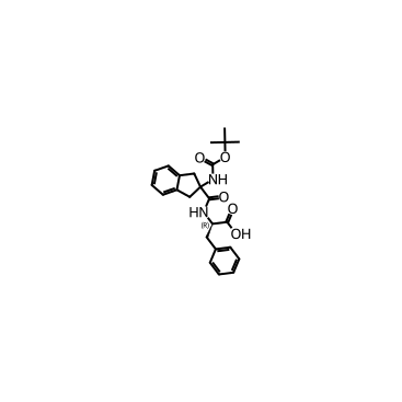 CC(C)(C)OC(=O)NC1(C(=O)N[C@H](Cc2ccccc2)C(=O)O)Cc2ccccc2C1